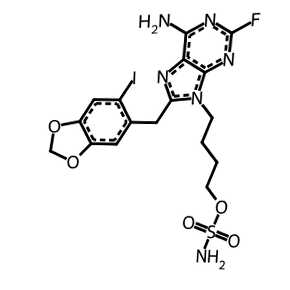 Nc1nc(F)nc2c1nc(Cc1cc3c(cc1I)OCO3)n2CCCCOS(N)(=O)=O